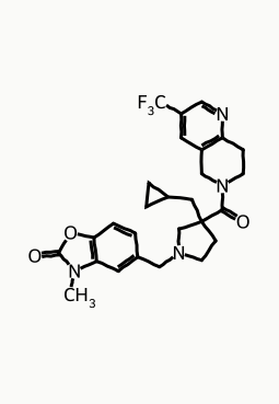 Cn1c(=O)oc2ccc(CN3CCC(CC4CC4)(C(=O)N4CCc5ncc(C(F)(F)F)cc5C4)C3)cc21